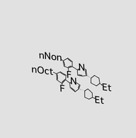 CCCCCCCCCc1ccc(-c2ccc([C@H]3CC[C@H](CC)CC3)cn2)c(F)c1.CCCCCCCCc1ccc(-c2ccc([C@H]3CC[C@H](CC)CC3)cn2)c(F)c1